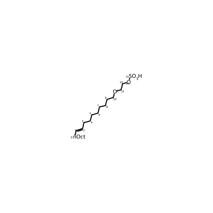 CCCCCCCCC=CCCCCCCCCOCCOS(=O)(=O)O